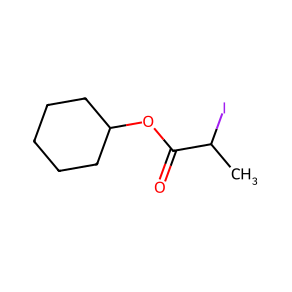 CC(I)C(=O)OC1CCCCC1